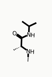 CC(C)NC(=O)[C@@H](C)NI